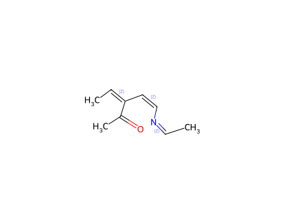 C\C=N/C=C\C(=C\C)C(C)=O